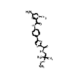 CSSC(C)(C)CNC(=O)c1nc(-c2ccc(NC(=O)c3nc(N)cn3C)cc2)cs1